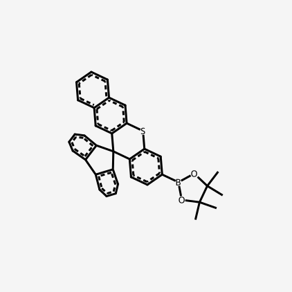 CC1(C)OB(c2ccc3c(c2)Sc2cc4ccccc4cc2C32c3ccccc3-c3ccccc32)OC1(C)C